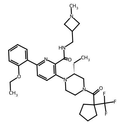 CCOc1ccccc1-c1ccc(N2CCN(C(=O)C3(C(F)(F)F)CCCC3)C[C@H]2CC)c(C(=O)NCC2CN(C)C2)n1